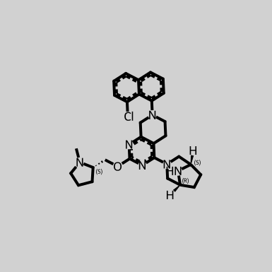 CN1CCC[C@H]1COc1nc2c(c(N3C[C@H]4CC[C@@H](C3)N4)n1)CCN(c1cccc3cccc(Cl)c13)C2